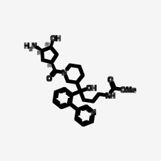 COC(=O)NCCCC(O)(c1ccccc1-c1cccnc1)C1CCCN(C(=O)[C@H]2C[C@@H](N)[C@@H](O)C2)C1